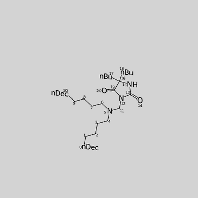 CCCCCCCCCCCCCCN(CCCCCCCCCCCCCC)CN1C(=O)NC(CCCC)(CCCC)C1=O